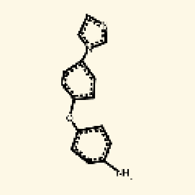 Nc1ccc(Oc2ccc(-n3ccnc3)cc2)cc1